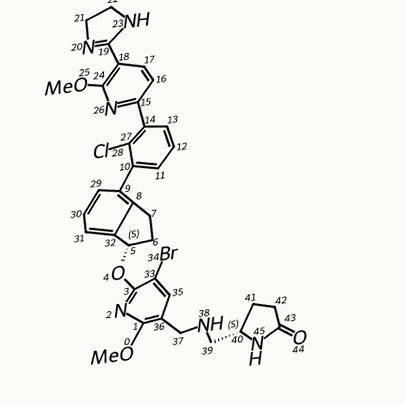 COc1nc(O[C@H]2CCc3c(-c4cccc(-c5ccc(C6=NCCN6)c(OC)n5)c4Cl)cccc32)c(Br)cc1CNC[C@@H]1CCC(=O)N1